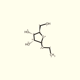 CCO[C]1O[C@H](CO)[C@@H](O)[C@H]1O